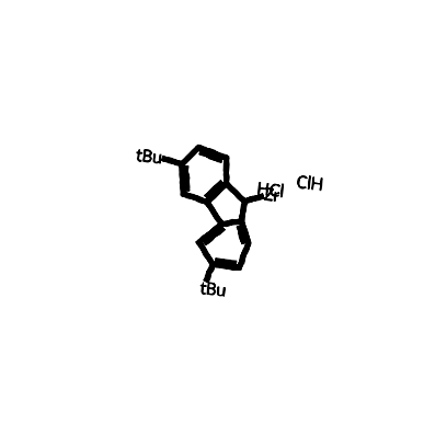 CC(C)(C)c1ccc2c(c1)-c1cc(C(C)(C)C)ccc1[CH]2[Zr].Cl.Cl